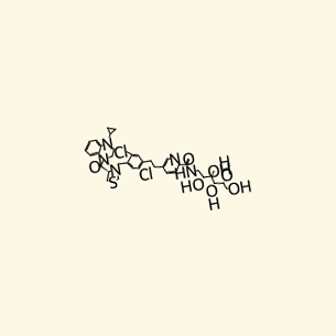 O=C(NC[C@H](O)[C@@H](O)[C@H](O)[C@H](O)CO)c1ccc(CCc2cc(Cl)c(CN3CSC[C@H]3C(=O)N3CCN(C4CC4)c4ccccc43)cc2Cl)cn1